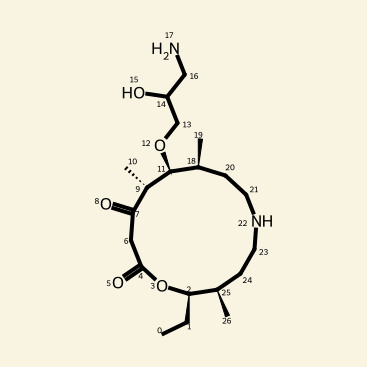 CC[C@H]1OC(=O)CC(=O)[C@H](C)[C@@H](OCC(O)CN)[C@@H](C)CCNCC[C@H]1C